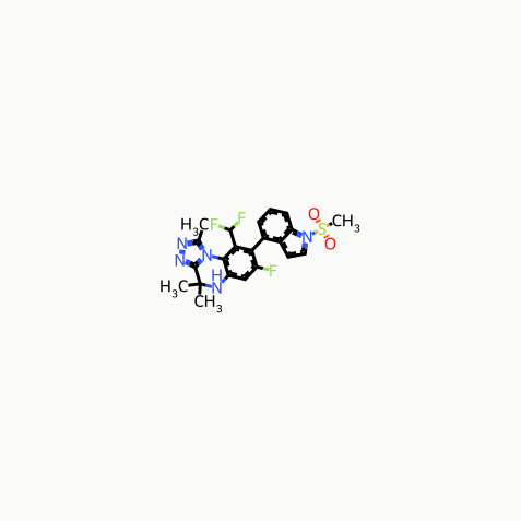 Cc1nnc2n1-c1c(cc(F)c(-c3cccc4c3ccn4S(C)(=O)=O)c1C(F)F)NC2(C)C